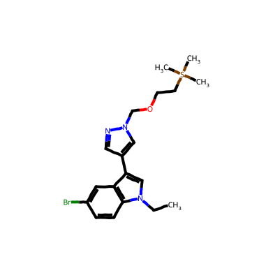 CCn1cc(-c2cnn(COCCS(C)(C)C)c2)c2cc(Br)ccc21